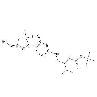 CC(C)C(CNc1ccn([C@@H]2O[C@@H](CO)[CH]C2(F)F)c(=O)n1)NC(=O)OC(C)(C)C